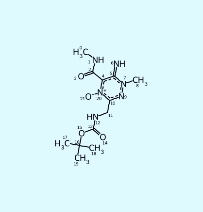 CNC(=O)c1c(=N)n(C)nc(CNC(=O)OC(C)(C)C)[n+]1[O-]